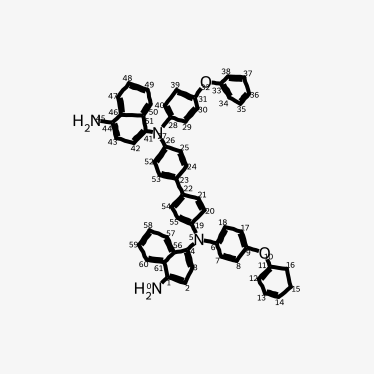 Nc1ccc(N(c2ccc(OC3=CC=CCC3)cc2)c2ccc(-c3ccc(N(c4ccc(Oc5ccccc5)cc4)c4ccc(N)c5ccccc45)cc3)cc2)c2ccccc12